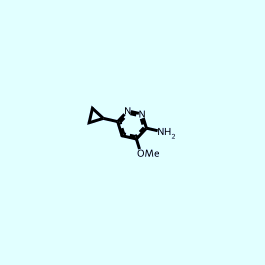 COc1cc(C2CC2)nnc1N